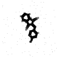 O=C1C(=Cc2ccc(F)cc2)C(=O)c2ccccc21